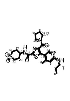 CC[C@@H](C)Nc1cc(C)c(-c2sc(C(=O)NC3CCS(=O)(=O)CC3)nc2C(=O)N2CCC[C@@H]2C)cn1